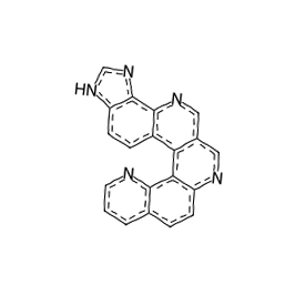 c1cnc2c(c1)ccc1ncc3cnc4c(ccc5[nH]cnc54)c3c12